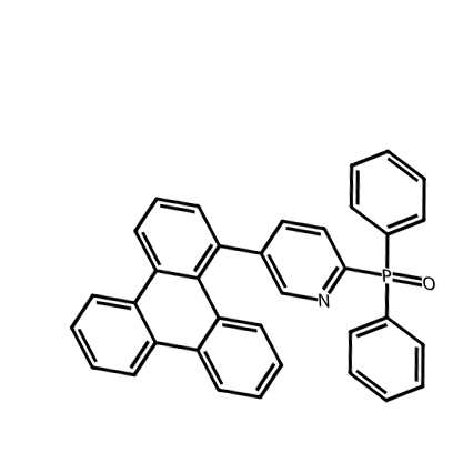 O=P(c1ccccc1)(c1ccccc1)c1ccc(-c2cccc3c4ccccc4c4ccccc4c23)cn1